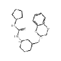 O=C(NC1CCCC1)N[C@H]1CCCN(C[C@H]2COc3ccccc3O2)C1